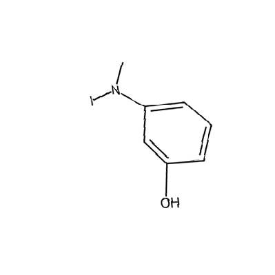 CN(I)c1cccc(O)c1